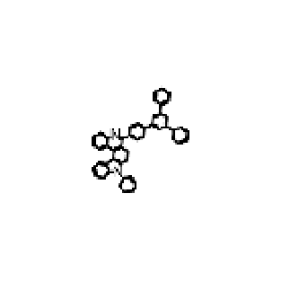 c1ccc(-c2cc(-c3ccccc3)cc(-c3ccc(-c4nc5ccccc5c5c4ccc4c5c5ccccc5n4-c4ccccc4)cc3)c2)cc1